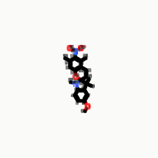 COc1ccc2c(c1)C(C)(C)C1(C=Cc3c(cc(C)c([N+](=O)[O-])c3C)O1)N2C